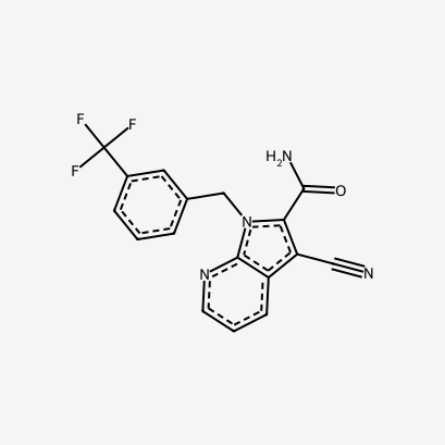 N#Cc1c(C(N)=O)n(Cc2cccc(C(F)(F)F)c2)c2ncccc12